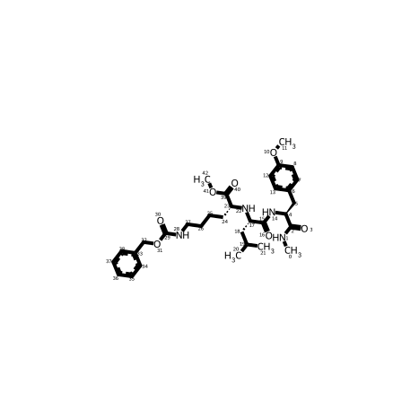 CNC(=O)[C@H](Cc1ccc(OC)cc1)NC(=O)[C@H](CC(C)C)N[C@H](CCCCNC(=O)OCc1ccccc1)C(=O)OC